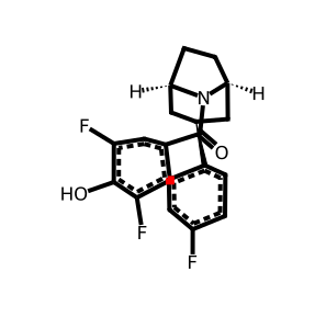 O=C(c1cc(F)c(O)c(F)c1)N1[C@@H]2CC[C@H]1C[C@@H](c1ccc(F)cc1)C2